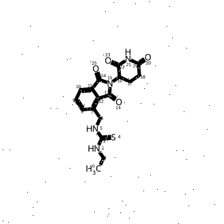 CCNC(=S)NCc1cccc2c1C(=O)N(C1CCC(=O)NC1=O)C2=O